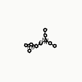 c1ccc(-c2ccc(-c3nc(-c4ccc(-c5ccccc5)cc4)nc(-c4ccc(-c5ccc6oc7c(ccc8c9ccccc9n(-c9ccccc9)c87)c6c5)cc4)n3)cc2)cc1